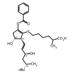 CCCC[C@@H](C)C[C@H](O)C=C[C@@H]1C(SCCCCC(C)C(=O)O)=C(OC(=O)c2ccccc2)C[C@H]1O